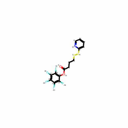 O=C(CCCSSc1ccccn1)Oc1c(F)c(F)c(F)c(F)c1F